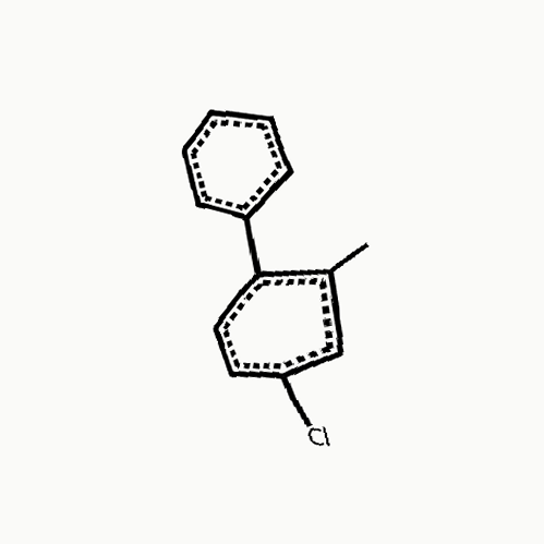 Cc1cc(Cl)ccc1-c1ccccc1